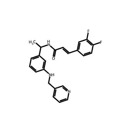 CC(NC(=O)C=Cc1ccc(F)c(F)c1)c1cccc(NCc2cccnc2)c1